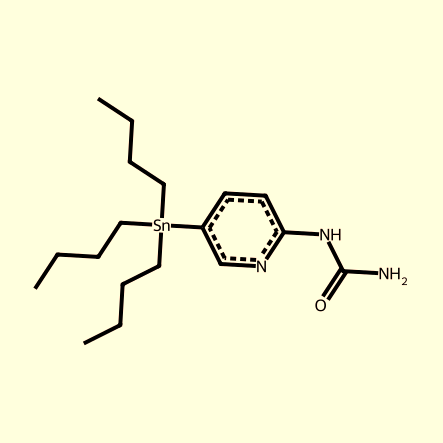 CCC[CH2][Sn]([CH2]CCC)([CH2]CCC)[c]1ccc(NC(N)=O)nc1